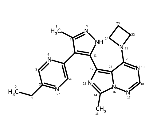 CCc1cnc(-c2c(C)n[nH]c2-c2nc(C)n3ncnc(N4CCC4)c23)cn1